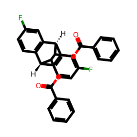 O=C(OC1C(OC(=O)c2ccccc2)[C@H]2c3cc(F)ccc3[C@H]1c1ccc(F)cc12)c1ccccc1